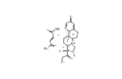 C[C@@H]1C[C@H]2[C@@H]3CCC4=CC(=O)C=C[C@]4(C)[C@@]3(F)[C@@H](O)C[C@]2(C)[C@@]1(O)C(=O)CO.O=C(O)/C=C/C(=O)O